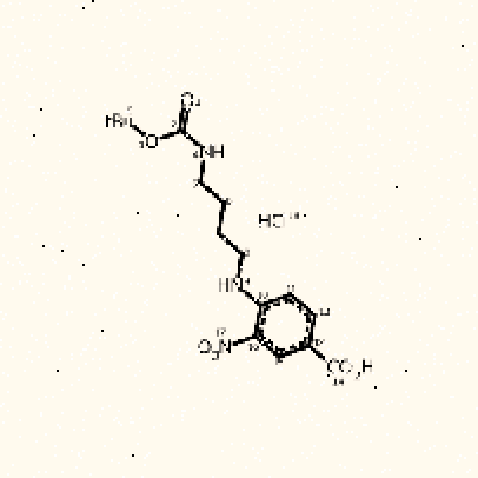 CC(C)(C)OC(=O)NCCCCNc1ccc(C(=O)O)cc1[N+](=O)[O-].Cl